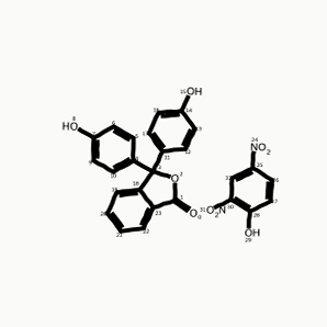 O=C1OC(c2ccc(O)cc2)(c2ccc(O)cc2)c2ccccc21.O=[N+]([O-])c1ccc(O)c([N+](=O)[O-])c1